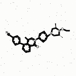 CCON1[C@H](C)CN(c2ccc(-n3cc(C)c4c(-c5ccc(C#N)cc5)cccc4c3=O)cc2)C[C@H]1C